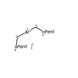 CCCCC[CH2][Al+][CH2]CCCCC.[I-]